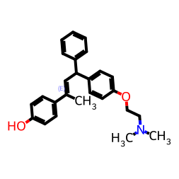 C/C(=C\C(c1ccccc1)c1ccc(OCCN(C)C)cc1)c1ccc(O)cc1